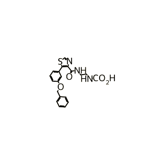 O=C(O)NCCNC(=O)c1ncsc1-c1cccc(OCc2ccccc2)c1